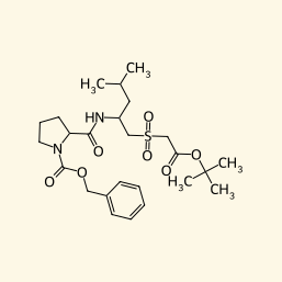 CC(C)CC(CS(=O)(=O)CC(=O)OC(C)(C)C)NC(=O)C1CCCN1C(=O)OCc1ccccc1